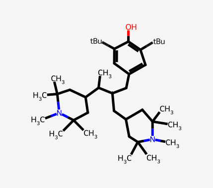 CC([C](Cc1cc(C(C)(C)C)c(O)c(C(C)(C)C)c1)CC1CC(C)(C)N(C)C(C)(C)C1)C1CC(C)(C)N(C)C(C)(C)C1